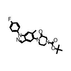 Cc1cc2c(cnn2-c2ccc(F)cc2)cc1N1CCN(C(=O)OC(C)(C)C)CC1=O